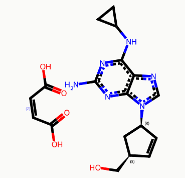 Nc1nc(NC2CC2)c2ncn([C@H]3C=C[C@@H](CO)C3)c2n1.O=C(O)/C=C\C(=O)O